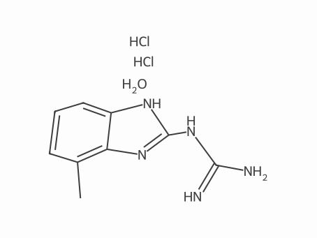 Cc1cccc2[nH]c(NC(=N)N)nc12.Cl.Cl.O